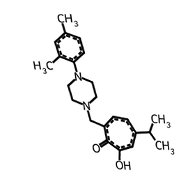 Cc1ccc(N2CCN(Cc3ccc(C(C)C)cc(O)c3=O)CC2)c(C)c1